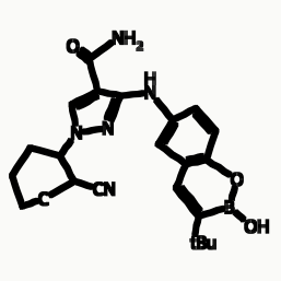 CC(C)(C)C1=Cc2cc(Nc3nn(C4CCCCC4C#N)cc3C(N)=O)ccc2OB1O